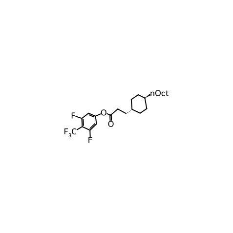 CCCCCCCC[C@H]1CC[C@H](CCC(=O)Oc2cc(F)c(C(F)(F)F)c(F)c2)CC1